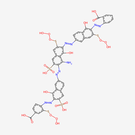 Nc1c(N=Nc2ccc3cc(S(=O)(=O)O)c(N=Nc4ccc(C(=O)O)cc4SOOO)c(O)c3c2)c(S(=O)(=O)O)cc2cc(SOOO)c(N=Nc3ccc4c(O)c(N=Nc5ccccc5C(=O)O)c(SOOO)cc4c3)c(O)c12